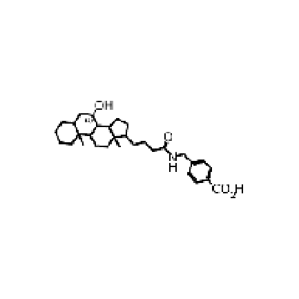 CC12CCC3C(C1CCC2CCCC(=O)NCc1ccc(C(=O)O)cc1)[C@@H](O)CC1CCCCC13C